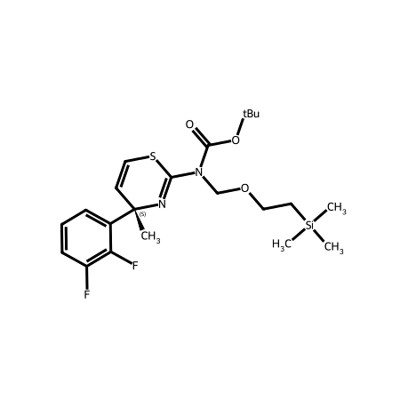 CC(C)(C)OC(=O)N(COCC[Si](C)(C)C)C1=N[C@](C)(c2cccc(F)c2F)C=CS1